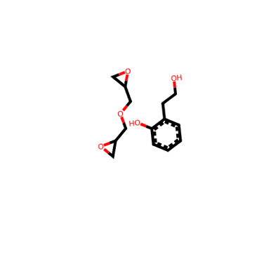 C(OCC1CO1)C1CO1.OCCc1ccccc1O